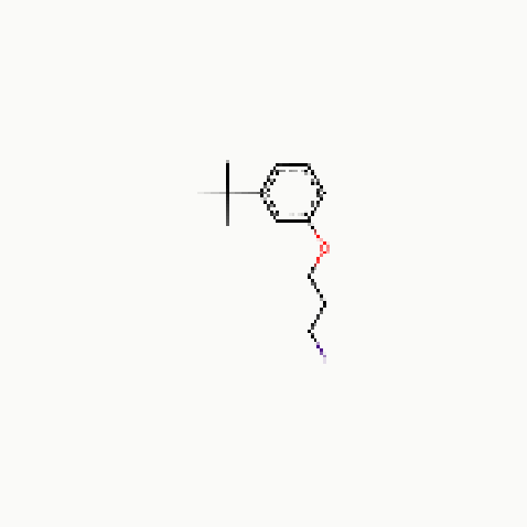 CC(C)(C)c1cccc(OCCCI)c1